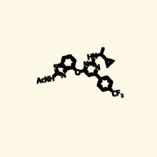 CC(=O)Nc1nc2c(Oc3cc(-c4ccc(C(F)(F)F)cc4)nc(NC(C)C4CC4)n3)cccc2s1